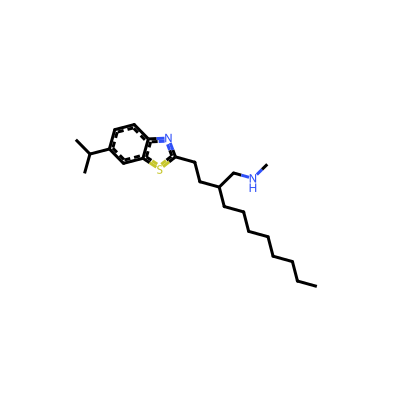 CCCCCCCCC(CCc1nc2ccc(C(C)C)cc2s1)CNC